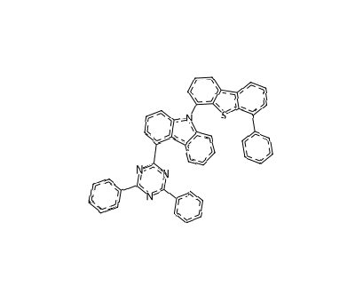 c1ccc(-c2nc(-c3ccccc3)nc(-c3cccc4c3c3ccccc3n4-c3cccc4c3sc3c(-c5ccccc5)cccc34)n2)cc1